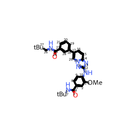 COc1cc(C(=O)NC(C)(C)C)ccc1Nc1nc2ccc(-c3cccc(C(=O)NCC(C)(C)C)c3)cn2n1